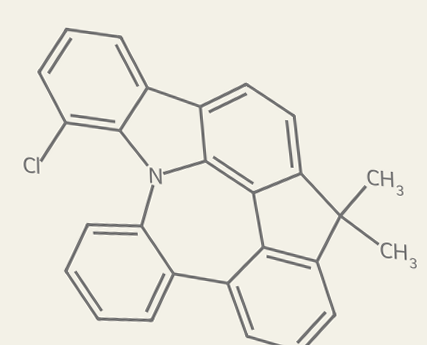 CC1(C)c2cccc3c2-c2c1ccc1c4cccc(Cl)c4n(c21)-c1ccccc1-3